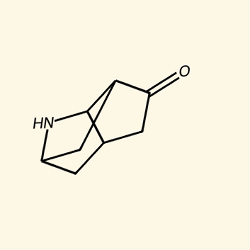 O=C1CC2CC3CC1C2N3